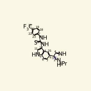 CC(C)N/C=C(\C=N)c1ccc2[nH]cc(NC(=S)Nc3ccc(C(F)(F)F)cc3)c2c1